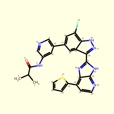 CC(C)C(=O)Nc1cncc(-c2cc(F)c3[nH]nc(-c4nc5c(-c6cccs6)ccnc5[nH]4)c3c2)c1